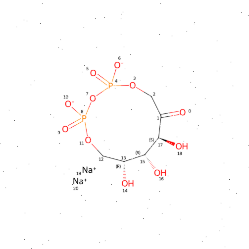 O=C1COP(=O)([O-])OP(=O)([O-])OC[C@@H](O)[C@@H](O)[C@@H]1O.[Na+].[Na+]